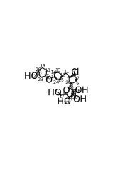 OC[C@H]1O[C@@H](c2ccc(Cl)c(Cc3ccc(OC4CCC[C@@H](O)C4)cc3)c2)[C@H](O)[C@@H](O)[C@@H]1O